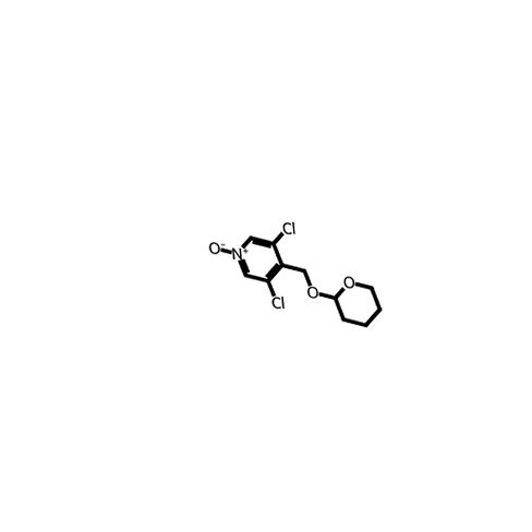 [O-][n+]1cc(Cl)c(COC2CCCCO2)c(Cl)c1